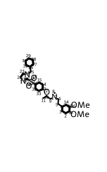 COc1ccc(CCN(C)CC(C)Oc2ccc(S(=O)(=O)c3nccn3Cc3ccccc3)cc2)cc1OC